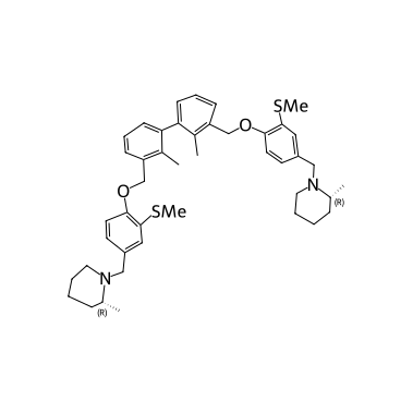 CSc1cc(CN2CCCC[C@H]2C)ccc1OCc1cccc(-c2cccc(COc3ccc(CN4CCCC[C@H]4C)cc3SC)c2C)c1C